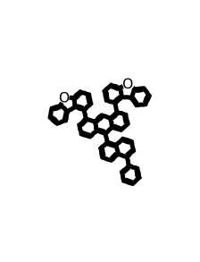 c1ccc(-c2cccc3c(-c4c5cccc(-c6cccc7oc8ccccc8c67)c5cc5c(-c6cccc7oc8ccccc8c67)cccc45)cccc23)cc1